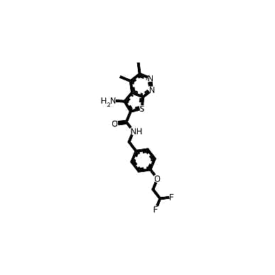 Cc1nnc2sc(C(=O)NCc3ccc(OCC(F)F)cc3)c(N)c2c1C